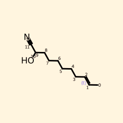 C/C=C/CCCCCCC(O)C#N